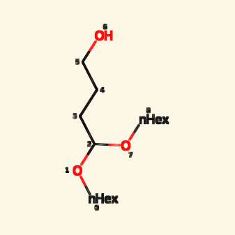 CCCCCCOC(CCCO)OCCCCCC